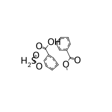 COC(=O)c1ccccc1.O=C(O)c1ccccc1.O=[SH2]=O